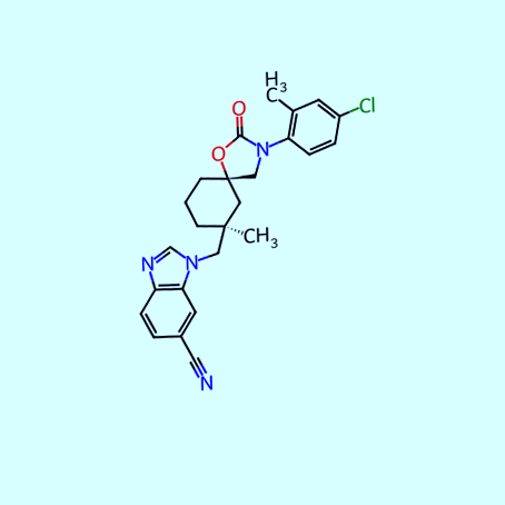 Cc1cc(Cl)ccc1N1C[C@@]2(CCC[C@](C)(Cn3cnc4ccc(C#N)cc43)C2)OC1=O